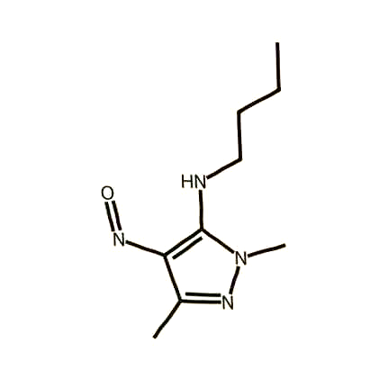 CCCCNc1c(N=O)c(C)nn1C